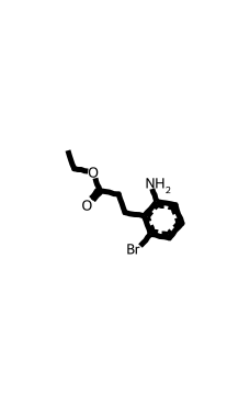 CCOC(=O)CCc1c(N)cccc1Br